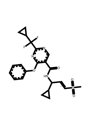 CS(=O)(=O)/C=C/C(NC(=O)c1cnc(C(F)(F)C2CC2)nc1Oc1ccccc1)C1CC1